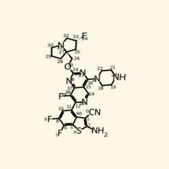 N#Cc1c(N)sc2c(F)c(F)cc(-c3ncc4c(N5CCNCC5)nc(OC[C@@]56CCCN5C[C@H](F)C6)nc4c3F)c12